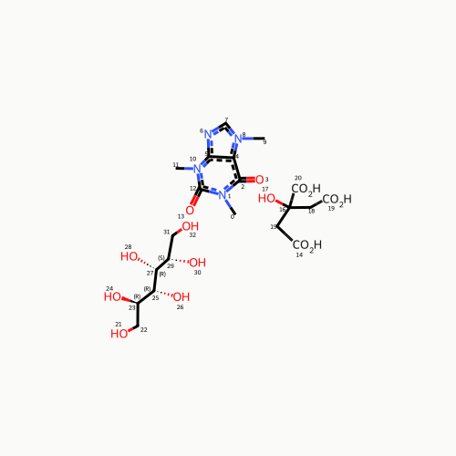 Cn1c(=O)c2c(ncn2C)n(C)c1=O.O=C(O)CC(O)(CC(=O)O)C(=O)O.OC[C@@H](O)[C@@H](O)[C@H](O)[C@@H](O)CO